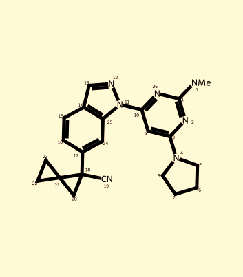 CNc1nc(N2CCCC2)cc(-n2ncc3ccc(C4(C#N)CC45CC5)cc32)n1